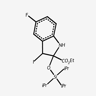 CCOC(=O)C1(O[Si](C(C)C)(C(C)C)C(C)C)Nc2ccc(F)cc2C1I